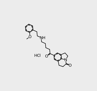 COc1ccccc1CCNCCCCC(=O)c1cc2c3c(c1)CCN3C(=O)CC2.Cl